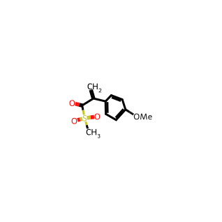 C=C(C(=O)S(C)(=O)=O)c1ccc(OC)cc1